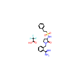 N=C(N)c1ccccc1CN1CCC(NS(=O)(=O)CCc2ccccc2)C1=O.O=C(O)C(F)(F)F